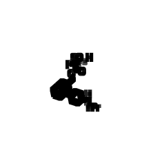 CCCNc1ccc(C23CC4CC(CC(COC(=O)C(F)(F)S(=O)(=O)O)(C4)C2)C3)cc1